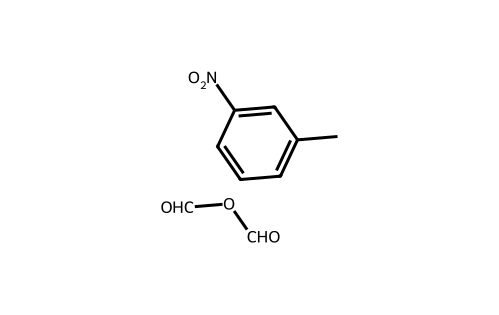 Cc1cccc([N+](=O)[O-])c1.O=COC=O